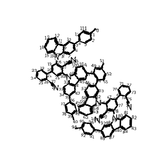 Cc1ccc(-c2ccc3c(c2)c2ccccc2n3-c2cc(-c3ccccc3C#N)cc(-n3c4ccc(-c5ccc(C)cc5)cc4c4cc(-c5cc(C)ccc5-c5ccc6c7ccccc7n(-c7cc(-c8ccccc8C#N)cc(-n8c9ccccc9c9ccc(-c%10ccc(C)cc%10)cc98)c7C#N)c6c5)ccc43)c2C#N)cc1